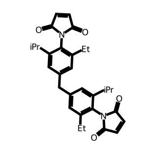 CCc1cc(Cc2cc(CC)c(N3C(=O)C=CC3=O)c(C(C)C)c2)cc(C(C)C)c1N1C(=O)C=CC1=O